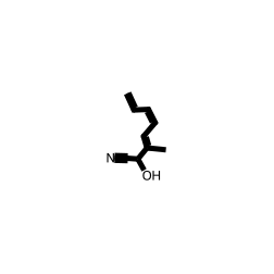 C=C/C=C\C=C(/C)C(O)C#N